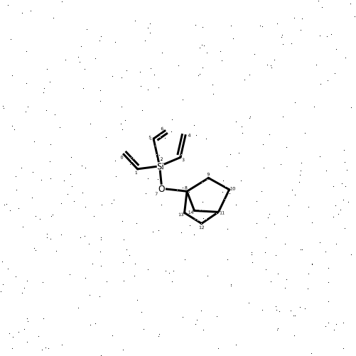 C=C[Si](C=C)(C=C)OC12CCC(CC1)C2